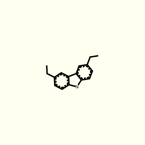 CCc1ccc2c(c1)-c1cc(CC)ccc1[N]2